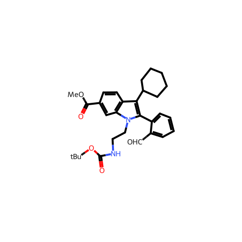 COC(=O)c1ccc2c(C3CCCCC3)c(-c3ccccc3C=O)n(CCNC(=O)OC(C)(C)C)c2c1